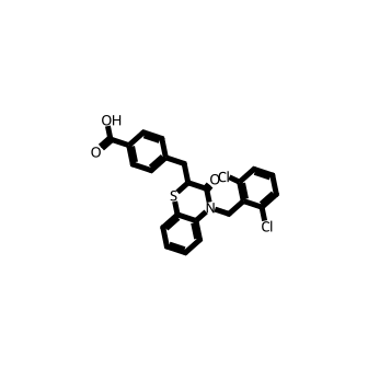 O=C(O)c1ccc(CC2Sc3ccccc3N(Cc3c(Cl)cccc3Cl)C2=O)cc1